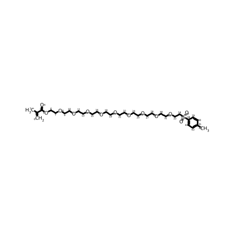 C=C(C)C(=O)OCCOCCOCCOCCOCCOCCOCCOCCOCCOCCS(=O)(=O)c1ccc(C)cc1